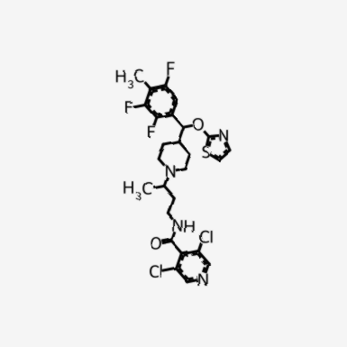 Cc1c(F)cc(C(Oc2nccs2)C2CCN(C(C)CCNC(=O)c3c(Cl)cncc3Cl)CC2)c(F)c1F